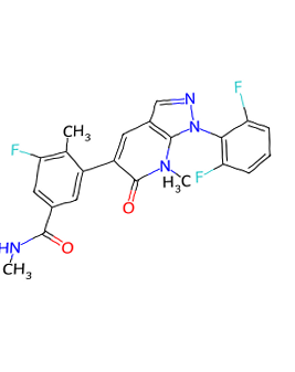 CNC(=O)c1cc(F)c(C)c(-c2cc3cnn(-c4c(F)cccc4F)c3n(C)c2=O)c1